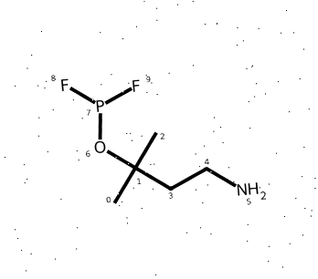 CC(C)(CCN)OP(F)F